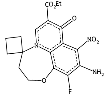 CCOC(=O)c1cn2c3c(c(F)c(N)c([N+](=O)[O-])c3c1=O)OCCC21CCC1